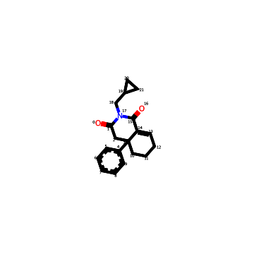 O=C1CC2(c3ccccc3)CCCC=C2C(=O)N1CC1CC1